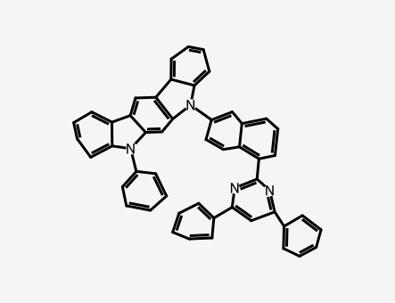 c1ccc(-c2cc(-c3ccccc3)nc(-c3cccc4cc(-n5c6ccccc6c6cc7c8ccccc8n(-c8ccccc8)c7cc65)ccc34)n2)cc1